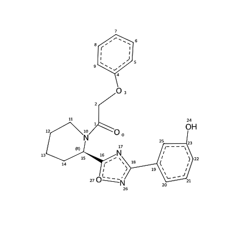 O=C(COc1ccccc1)N1CCCC[C@@H]1c1nc(-c2cccc(O)c2)no1